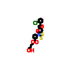 O=C(OCCCCO)c1cccc(N2C(=O)/C(=C\c3ccc(-c4ccccc4Cl)o3)SC2=S)c1